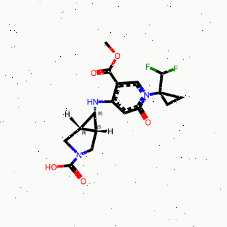 COC(=O)c1cn(C2(C(F)F)CC2)c(=O)cc1N[C@@H]1[C@@H]2CN(C(=O)O)C[C@@H]21